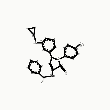 C[C@@H](NC1=CC(c2cccc(OC3CC3)c2)N(c2ccc(C(F)(F)F)cc2)C1=O)c1ccccc1